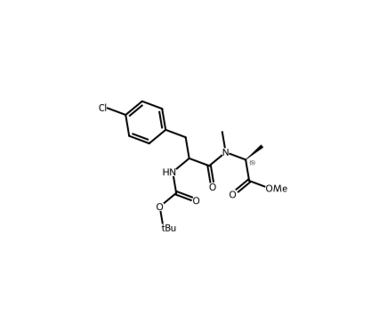 COC(=O)[C@H](C)N(C)C(=O)C(Cc1ccc(Cl)cc1)NC(=O)OC(C)(C)C